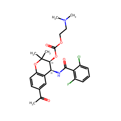 CC(=O)c1ccc2c(c1)[C@H](NC(=O)c1c(F)cccc1Cl)[C@H](OC(=O)OCCN(C)C)C(C)(C)O2